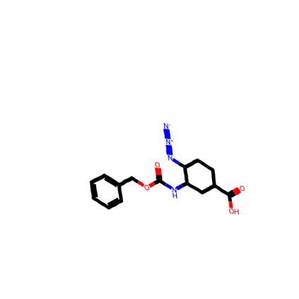 [N-]=[N+]=NC1CCC(C(=O)O)CC1NC(=O)OCc1ccccc1